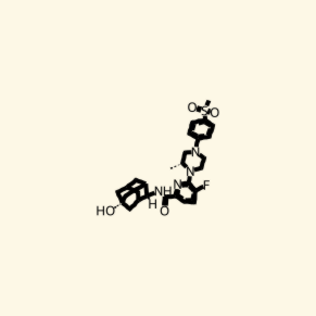 C[C@@H]1CN(c2ccc(S(C)(=O)=O)cc2)CCN1c1nc(C(=O)N[C@H]2C3CC4CC2C[C@](O)(C4)C3)ccc1F